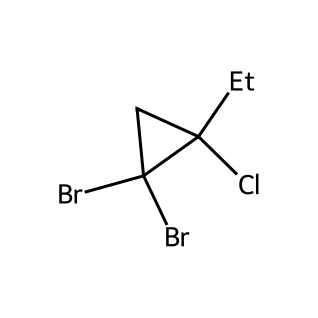 CCC1(Cl)CC1(Br)Br